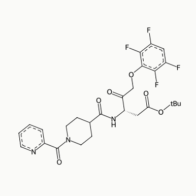 CC(C)(C)OC(=O)C[C@H](NC(=O)C1CCN(C(=O)c2ccccn2)CC1)C(=O)COc1c(F)c(F)cc(F)c1F